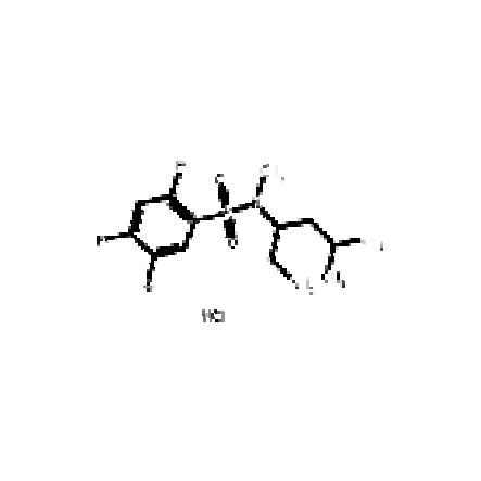 CC(C)CC(CN)N(C)S(=O)(=O)c1cc(Br)c(F)cc1F.Cl